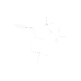 CC(OC(CC#N)CN(C(C)(C)C)S(C)(=O)=O)C(C)(C)C